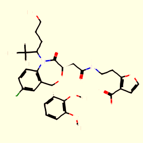 COc1cccc([C@H]2O[C@H](CC(=O)NCCc3occc3C(=O)O)C(=O)N(C(CCCO)C(C)(C)C)c3ccc(Cl)cc32)c1OC